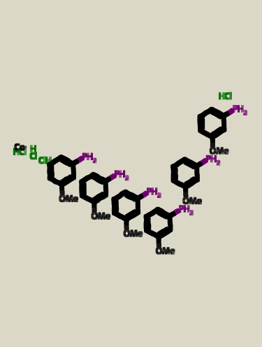 COc1cccc(P)c1.COc1cccc(P)c1.COc1cccc(P)c1.COc1cccc(P)c1.COc1cccc(P)c1.COc1cccc(P)c1.Cl.Cl.Cl.Cl.[Co]